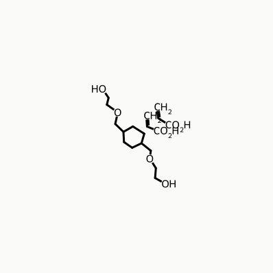 C=CC(=O)O.C=CC(=O)O.OCCOCC1CCC(COCCO)CC1